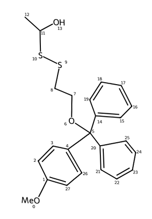 COc1ccc(C(OCCSSC(C)O)(c2ccccc2)c2ccccc2)cc1